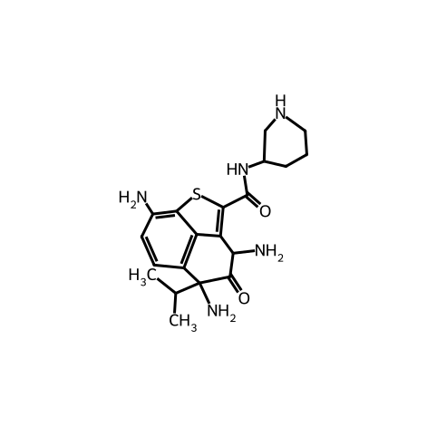 CC(C)C1(N)C(=O)C(N)c2c(C(=O)NC3CCCNC3)sc3c(N)ccc1c23